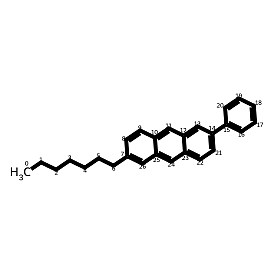 CCCCCCCc1ccc2cc3cc(-c4ccccc4)ccc3cc2c1